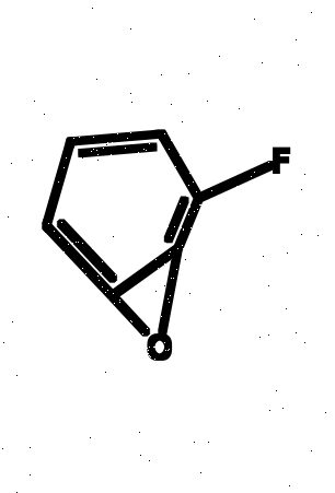 Fc1cccc2c1O2